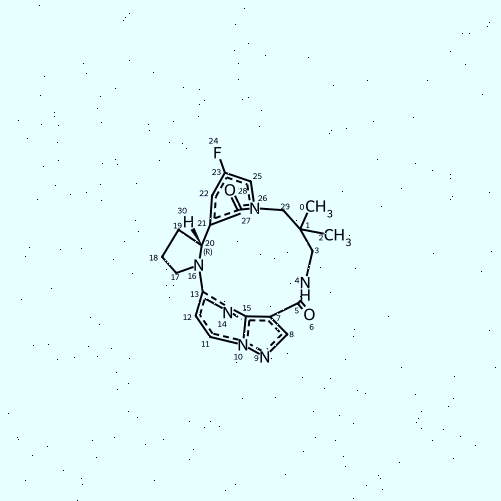 CC1(C)CNC(=O)c2cnn3ccc(nc23)N2CCC[C@@H]2c2cc(F)cn(c2=O)C1